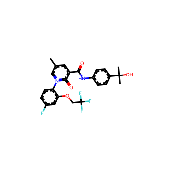 Cc1cc(C(=O)Nc2ccc(C(C)(C)O)cc2)c(=O)n(-c2ccc(F)cc2OCC(F)(F)F)c1